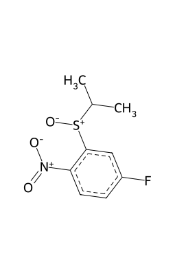 CC(C)[S+]([O-])c1cc(F)ccc1[N+](=O)[O-]